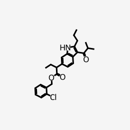 CCCc1[nH]c2cc(C(CC)C(=O)OCc3ccccc3Cl)ccc2c1C(=O)C(C)C